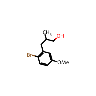 COc1ccc(Br)c(CC(C)CO)c1